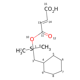 C[Si](C)(CC1CCCCC1)OC(=O)C=CC(=O)O